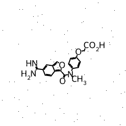 CN(C(=O)c1occ2cc(C(=N)N)ccc12)c1ccc(OCC(=O)O)cc1